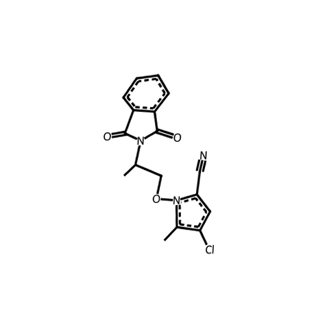 Cc1c(Cl)cc(C#N)n1OCC(C)N1C(=O)c2ccccc2C1=O